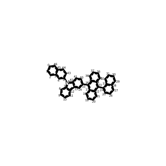 c1ccc2cc(-n3c4ccccc4c4cc(-c5c6ccccc6c(-c6cccc7ccccc67)c6ccccc56)ccc43)ccc2c1